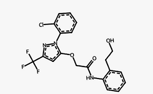 O=C(COc1cc(C(F)(F)F)nn1-c1ccccc1Cl)Nc1ccccc1CCO